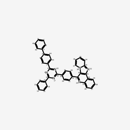 c1ccc(-c2ccc(-c3nc(-c4ccccc4)nc(-c4ccc(-c5nc6ccccc6c6nc7ccccn7c56)cc4)n3)cc2)cc1